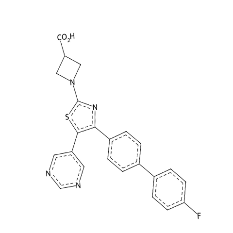 O=C(O)C1CN(c2nc(-c3ccc(-c4ccc(F)cc4)cc3)c(-c3cncnc3)s2)C1